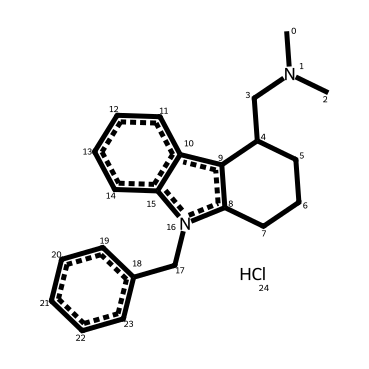 CN(C)CC1CCCc2c1c1ccccc1n2Cc1ccccc1.Cl